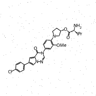 COc1cc(-n2cnn3cc(-c4ccc(Cl)cc4)cc3c2=O)ccc1N1CC[C@@H](OC(=O)[C@@H](N)C(C)C)C1